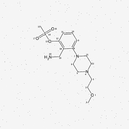 COCCN1CCN(c2cccc(OS(C)(=O)=O)c2CN)CC1